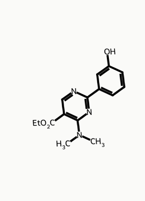 CCOC(=O)c1cnc(-c2cccc(O)c2)nc1N(C)C